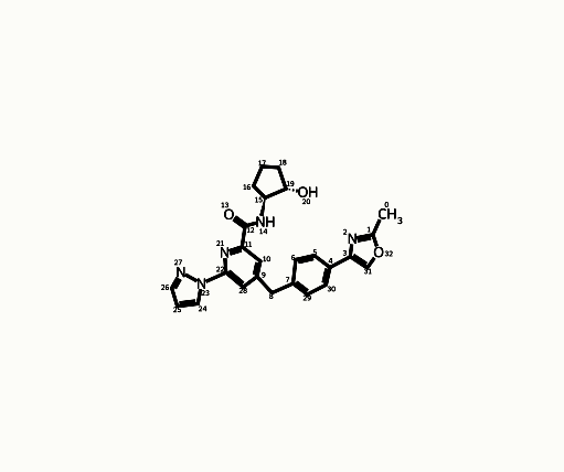 Cc1nc(-c2ccc(Cc3cc(C(=O)N[C@H]4CCC[C@@H]4O)nc(-n4cccn4)c3)cc2)co1